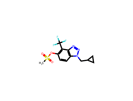 CS(=O)(=O)Oc1ccc2c(nnn2CC2CC2)c1C(F)(F)F